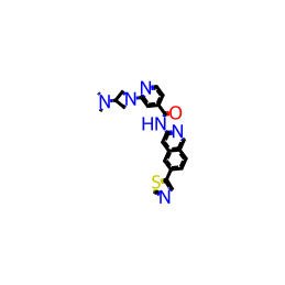 CN(C)C1CN(c2cc(C(=O)Nc3cc4cc(-c5cncs5)ccc4cn3)ccn2)C1